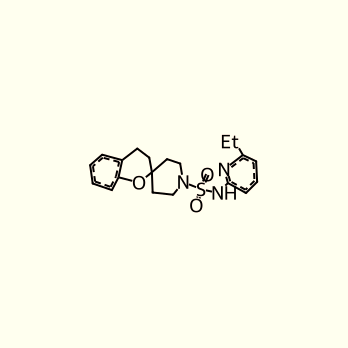 CCc1cccc(NS(=O)(=O)N2CCC3(CCc4ccccc4O3)CC2)n1